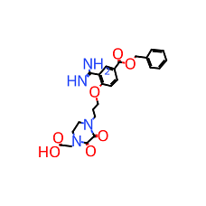 N=C(N)c1cc(C(=O)OCc2ccccc2)ccc1OCCCN1CCN(CC(=O)O)C(=O)C1=O